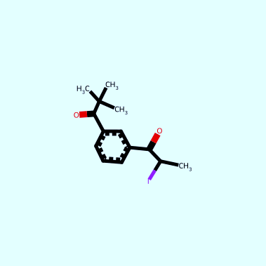 CC(I)C(=O)c1cccc(C(=O)C(C)(C)C)c1